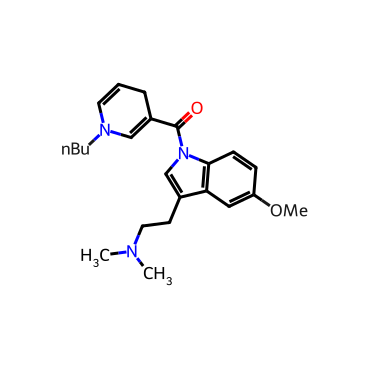 CCCCN1C=CCC(C(=O)n2cc(CCN(C)C)c3cc(OC)ccc32)=C1